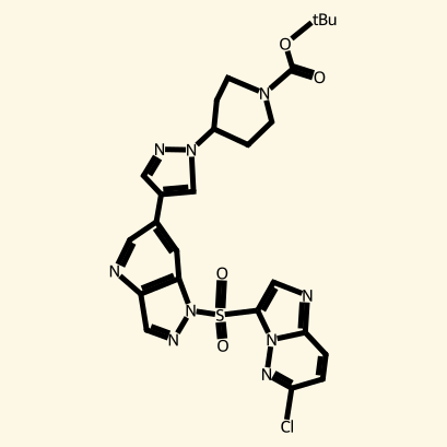 CC(C)(C)OC(=O)N1CCC(n2cc(-c3cnc4cnn(S(=O)(=O)c5cnc6ccc(Cl)nn56)c4c3)cn2)CC1